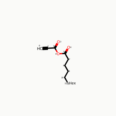 C#CC(=O)OC(=O)CCCCCCCCCC